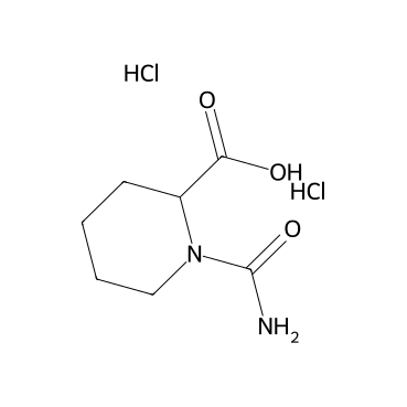 Cl.Cl.NC(=O)N1CCCCC1C(=O)O